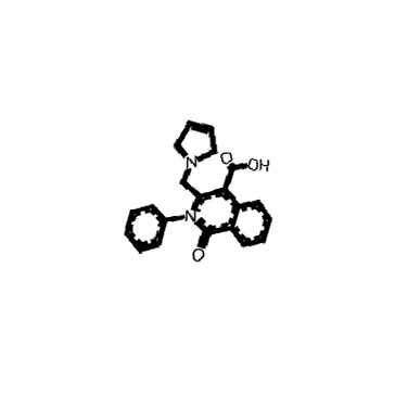 O=C(O)c1c(CN2CC=CC2)n(-c2ccccc2)c(=O)c2ccccc12